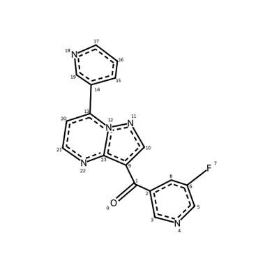 O=C(c1cncc(F)c1)c1cnn2c(-c3cccnc3)ccnc12